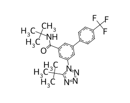 CC(C)(C)NC(=O)c1cc(-c2ccc(C(F)(F)F)cc2)cc(-n2nnnc2C(C)(C)C)c1